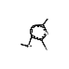 CNc1ccc(C)nc1Br